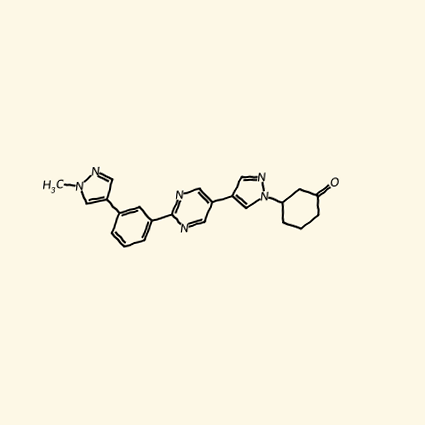 Cn1cc(-c2cccc(-c3ncc(-c4cnn(C5CCCC(=O)C5)c4)cn3)c2)cn1